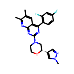 Cc1cc2c(-c3ccc(F)cc3F)nc(N3CCO[C@@H](c4cnn(C)c4)C3)nc2nc1C